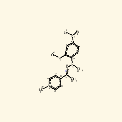 CCOc1cc(N(CC)CC)ccc1N(C)/N=C(\C)c1cc[n+](C)cc1